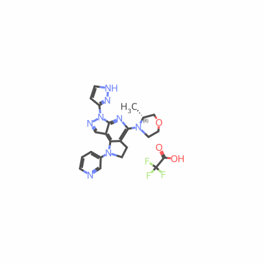 C[C@@H]1COCCN1c1nc2c(cnn2-c2cc[nH]n2)c2c1CCN2c1cccnc1.O=C(O)C(F)(F)F